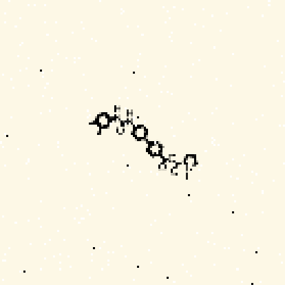 Cc1ccc(NC(=O)Nc2ccc(-c3ccc(C(=O)OC(=O)[C@H]4CCCN4)cc3)cc2)cc1C